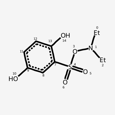 CCN(CC)OS(=O)(=O)c1cc(O)ccc1O